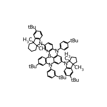 CC(C)(C)c1ccc(N2c3ccc(N4c5ccc(C(C)(C)C)cc5C5(C)CCCCC45C)cc3B3c4ccc(C(C)(C)C)cc4N(c4cccc(C(C)(C)C)c4)c4cc(N5c6ccc(C(C)(C)C)cc6C6(C)CCCC56C)cc2c43)cc1